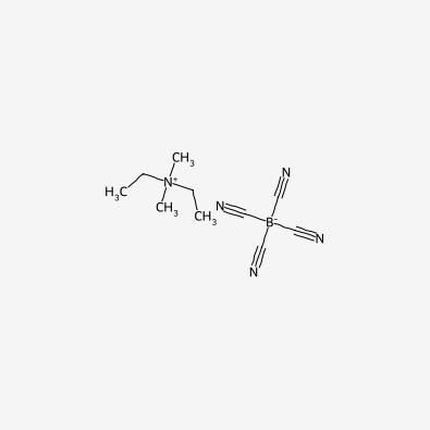 CC[N+](C)(C)CC.N#C[B-](C#N)(C#N)C#N